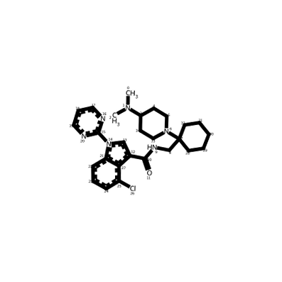 CN(C)C1CCN(C2(CNC(=O)c3cn(-c4ncccn4)c4cccc(Cl)c34)CCCCC2)CC1